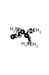 CN(C)CCOc1ccc(-c2ccc3nc(N)nc(C(=O)N4Cc5ccccc5C4)c3c2)c(CN2CCN(C)CC2)c1